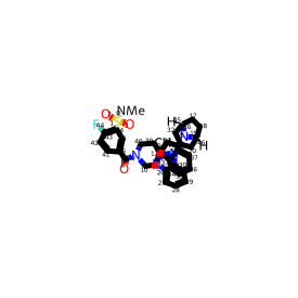 CNS(=O)(=O)c1cc(C(=O)N2CCC(CCN3[C@@H]4CC[C@H]3C[C@@H](n3c(C)nc5ccccc53)C4)(c3ccccc3)CC2)ccc1F